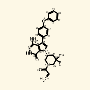 C=CC(=O)N1C[C@H](n2cc(-c3ccc(Oc4ccccc4)cc3)c3c(N)n[nH]c(=O)c32)CC(F)(F)C1